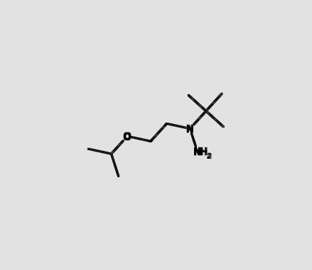 CC(C)OCCN(N)C(C)(C)C